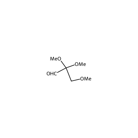 COCC(C=O)(OC)OC